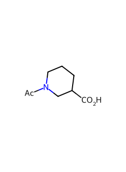 [CH2]C(=O)N1CCCC(C(=O)O)C1